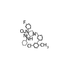 Cc1ccc(Cl)cc1-c1cccc(CN2CCC3(CC2)C(NC2CCCCC2)=NC(=O)N3c2cccc(F)c2)c1